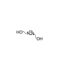 OCCn1cc[n+](CCO)c1